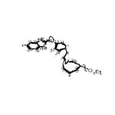 CCOC(=O)OC1CCCN(CCc2ccc(Oc3nc4ccccc4s3)cc2)C1